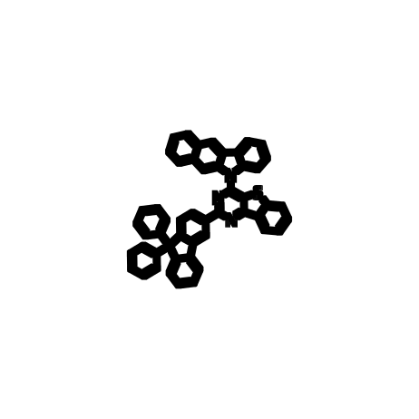 c1ccc(C2(c3ccccc3)c3ccccc3-c3cc(-c4nc(-n5c6ccccc6c6cc7ccccc7cc65)c5sc6ccccc6c5n4)ccc32)cc1